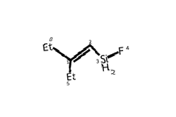 CCC(=C[SiH2]F)CC